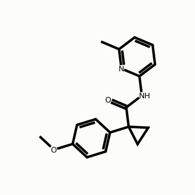 COc1ccc(C2(C(=O)Nc3cccc(C)n3)CC2)cc1